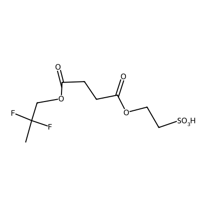 CC(F)(F)COC(=O)CCC(=O)OCCS(=O)(=O)O